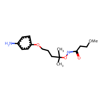 COCCC(=O)[N]OC(C)(C)CCCOc1ccc(N)cc1